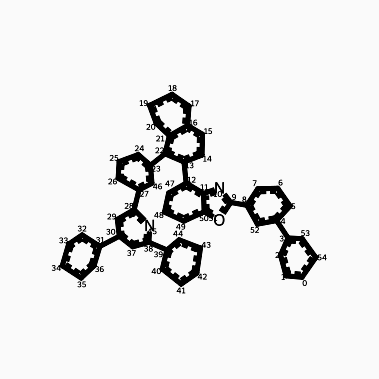 c1ccc(-c2cccc(-c3nc4c(-c5ccc6ccccc6c5-c5cccc(-c6cc(-c7ccccc7)cc(-c7ccccc7)n6)c5)cccc4o3)c2)cc1